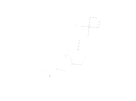 CCC1(CCC2CCC(CCC3(CC)COC3)S2(=O)=O)COC1